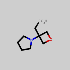 O=C(O)CC1(N2CCCC2)COC1